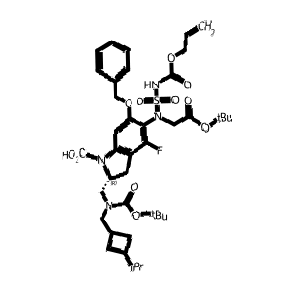 C=CCOC(=O)NS(=O)(=O)N(CC(=O)OC(C)(C)C)c1c(OCc2ccccc2)cc2c(c1F)C[C@H](CN(CC1CC(C(C)C)C1)C(=O)OC(C)(C)C)N2C(=O)O